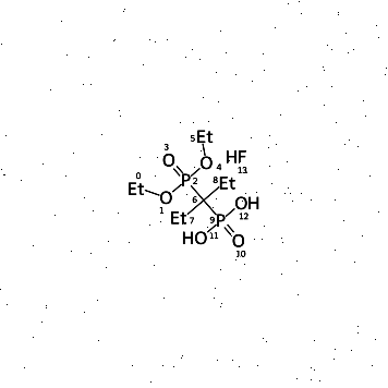 CCOP(=O)(OCC)C(CC)(CC)P(=O)(O)O.F